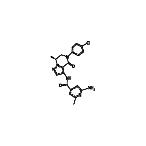 Cc1cc(C(=O)Nc2cnn3c2C(=O)N(c2ccc(Cl)cc2)C[C@@H]3C)cc(N)n1